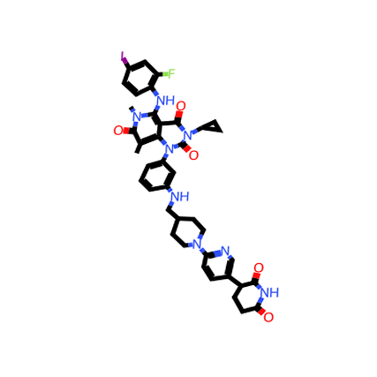 Cc1c(=O)n(C)c(Nc2ccc(I)cc2F)c2c(=O)n(C3CC3)c(=O)n(-c3cccc(NCC4CCN(c5ccc(C6CCC(=O)NC6=O)cn5)CC4)c3)c12